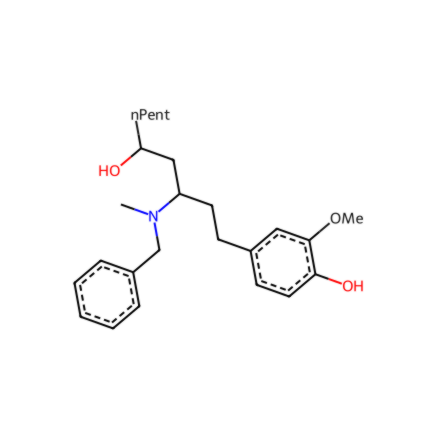 CCCCCC(O)CC(CCc1ccc(O)c(OC)c1)N(C)Cc1ccccc1